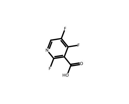 O=C(O)c1c(F)ncc(F)c1F